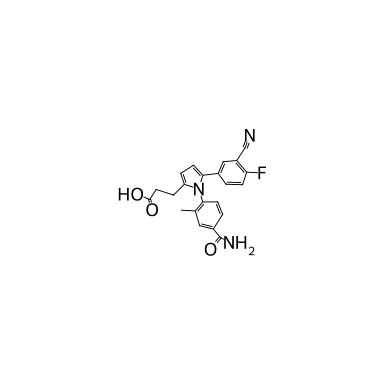 Cc1cc(C(N)=O)ccc1-n1c(CCC(=O)O)ccc1-c1ccc(F)c(C#N)c1